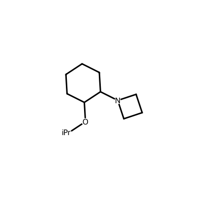 CC(C)OC1CCCCC1N1CCC1